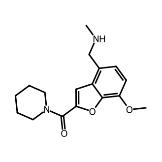 CNCc1ccc(OC)c2oc(C(=O)N3CCCCC3)cc12